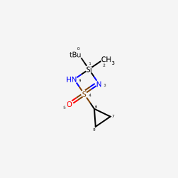 CC(C)(C)[Si]1(C)N=S(=O)(C2CC2)N1